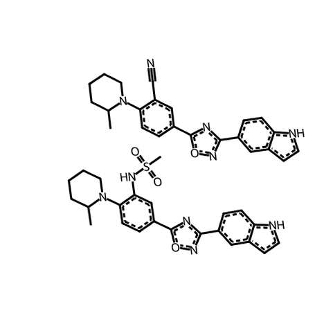 CC1CCCCN1c1ccc(-c2nc(-c3ccc4[nH]ccc4c3)no2)cc1C#N.CC1CCCCN1c1ccc(-c2nc(-c3ccc4[nH]ccc4c3)no2)cc1NS(C)(=O)=O